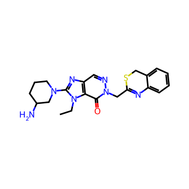 CCn1c(N2CCCC(N)C2)nc2cnn(CC3=Nc4ccccc4CS3)c(=O)c21